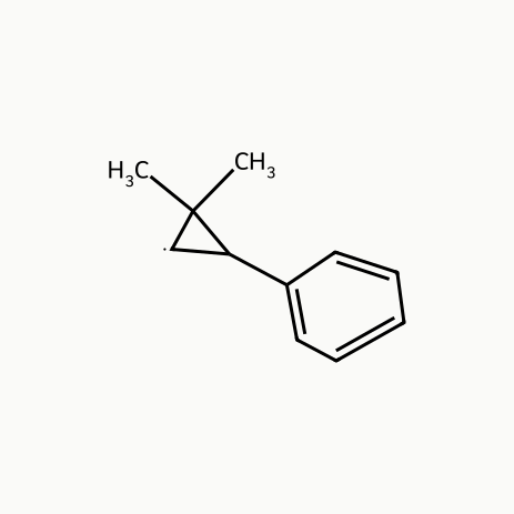 CC1(C)[CH]C1c1ccccc1